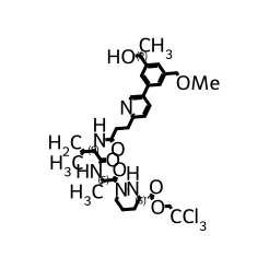 C=C(C)[C@H](NC(=O)CCc1ccc(-c2cc(COC)cc([C@@H](C)O)c2)cn1)C(=O)N[C@@H](C)C(=O)N1CCC[C@@H](C(=O)OCC(Cl)(Cl)Cl)N1